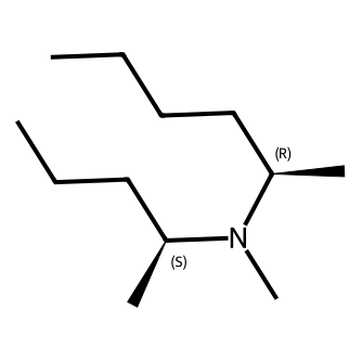 CCCC[C@@H](C)N(C)[C@@H](C)CCC